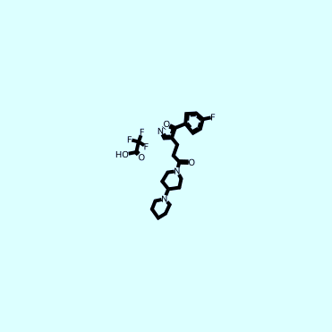 O=C(CCc1cnoc1-c1ccc(F)cc1)N1CCC(N2CCCCC2)CC1.O=C(O)C(F)(F)F